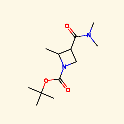 CC1C(C(=O)N(C)C)CN1C(=O)OC(C)(C)C